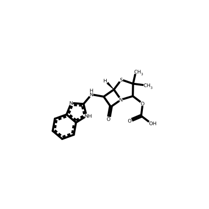 CC1(C)S[C@H]2C(Nc3nc4ccccc4[nH]3)C(=O)N2C1OC(=O)O